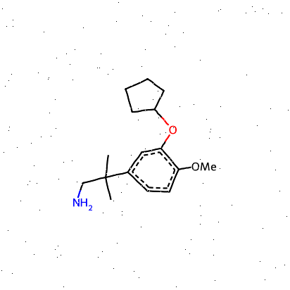 COc1ccc(C(C)(C)CN)cc1OC1CCCC1